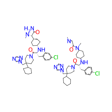 CN(C)[C@H](C(N)=O)[C@H]1CC[C@H](N[C@H](Cc2ccc(Cl)cc2)C(=O)N2CCC(Cn3cncn3)(C3CCCCC3)CC2)CC1.CN=CC(=O)N(C)[C@H]1CC[C@@H](N[C@H](Cc2ccc(Cl)cc2)C(=O)N2CCC(Cn3cncn3)(C3CCCCC3)CC2)CC1